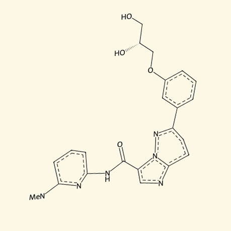 CNc1cccc(NC(=O)c2cnc3ccc(-c4cccc(OC[C@H](O)CO)c4)nn23)n1